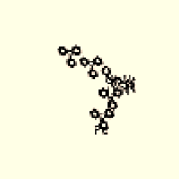 Cc1cnc(N)c(-c2ccc(OC3CCCCC3)nc2)n1.[Pd].c1ccc(P(c2ccccc2)c2ccccc2)cc1.c1ccc(P(c2ccccc2)c2ccccc2)cc1.c1ccc(P(c2ccccc2)c2ccccc2)cc1.c1ccc(P(c2ccccc2)c2ccccc2)cc1